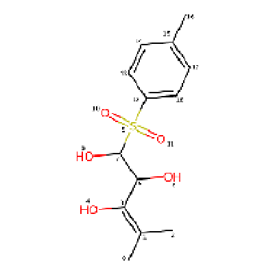 CC(C)=C(O)C(O)C(O)S(=O)(=O)c1ccc(C)cc1